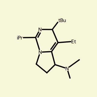 CCC1=C2C(N(C)C)CCN2C(C(C)C)=NC1C(C)(C)C